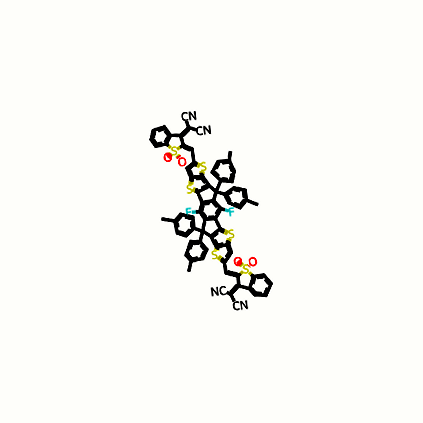 Cc1ccc(C2(c3ccc(C)cc3)c3c(F)c4c(c(F)c3-c3sc5cc(/C=C6/C(=C(C#N)C#N)c7ccccc7S6(=O)=O)sc5c32)C(c2ccc(C)cc2)(c2ccc(C)cc2)c2c-4sc3cc(/C=C4/C(=C(C#N)C#N)c5ccccc5S4(=O)=O)sc23)cc1